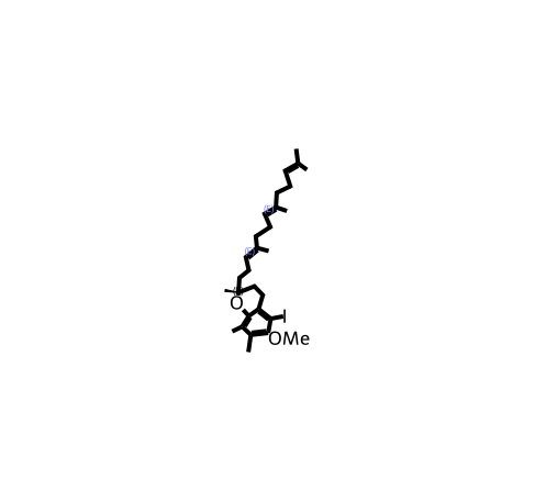 COc1c(C)c(C)c2c(c1I)CC[C@@](C)(CC/C=C(\C)CC/C=C(\C)CCC=C(C)C)O2